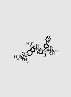 COc1cc2c(cc1Nc1ncc(Cl)c(Nc3ccc(N4CCOCC4)cc3S(=O)(=O)N(C)C)n1)CCN(CC(=O)N(C)C)CC2